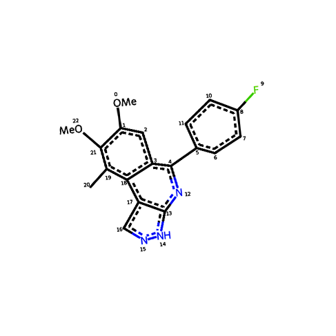 COc1cc2c(-c3ccc(F)cc3)nc3[nH]ncc3c2c(C)c1OC